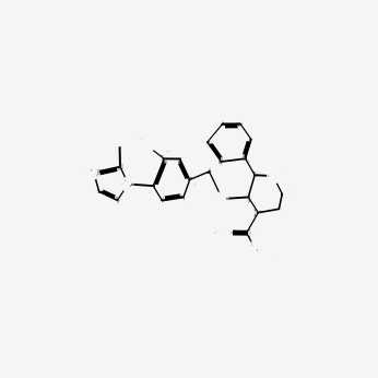 Cc1nccn1-c1ccc(COC2C(C(N)=O)CCOC2c2ccccc2)cc1F